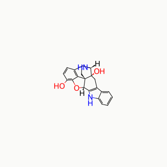 Oc1ccc2c3c1O[C@H]1c4[nH]c5ccccc5c4C[C@@]4(O)[C@@H](C2)NCC[C@]314